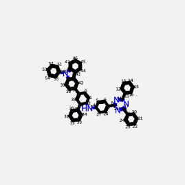 C1=CC(NC2C=CC(c3nc(-c4ccccc4)nc(-c4ccccc4)n3)=CC2)C(c2ccccc2)C=C1c1ccc2c(c1)c1ccccc1n2-c1ccccc1